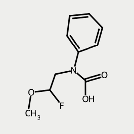 COC(F)CN(C(=O)O)c1ccccc1